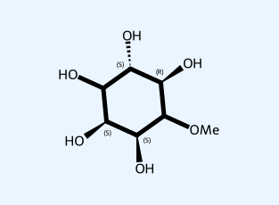 COC1[C@@H](O)[C@@H](O)C(O)[C@H](O)[C@H]1O